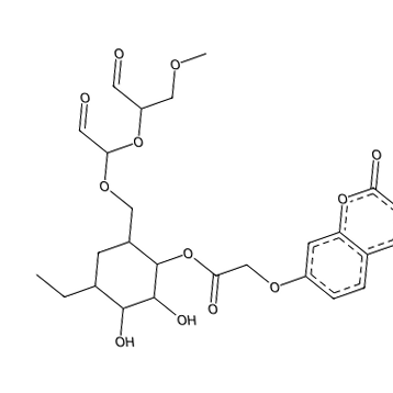 CCC1CC(COC(C=O)OC(C=O)COC)C(OC(=O)COc2ccc3ccc(=O)oc3c2)C(O)C1O